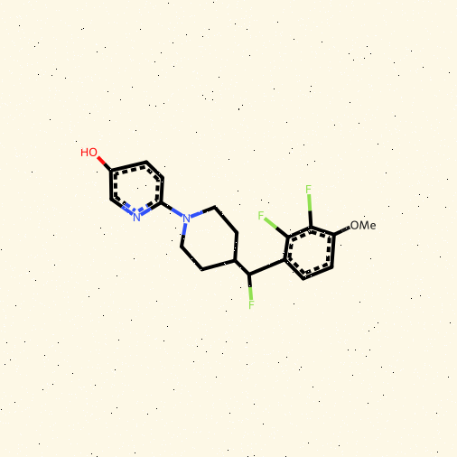 COc1ccc(C(F)C2CCN(c3ccc(O)cn3)CC2)c(F)c1F